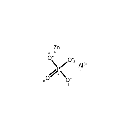 O=P([O-])([O-])[O-].[Al+3].[Zn]